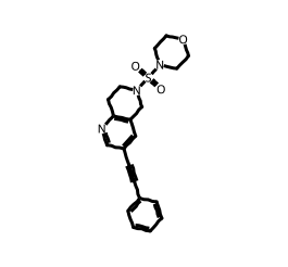 O=S(=O)(N1CCOCC1)N1CCc2ncc(C#Cc3ccccc3)cc2C1